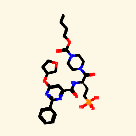 CCCCOC(=O)N1CCN(C(=O)[C@H](CCP(=O)(O)O)NC(=O)c2cc(O[C@H]3CCOC3)nc(-c3ccccc3)n2)CC1